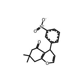 CC1(C)CC(=O)C2=C(C1)OC=CC2c1cccc([N+](=O)[O-])c1